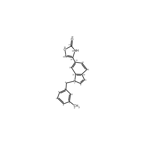 Cc1cccc(Cn2ccc3ccc(-c4noc(=O)[nH]4)cc32)c1